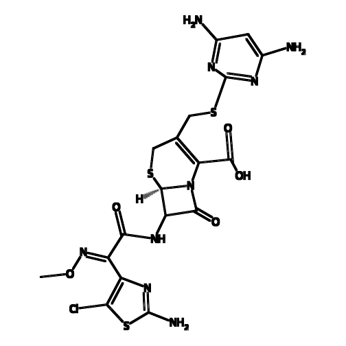 CO/N=C(/C(=O)NC1C(=O)N2C(C(=O)O)=C(CSc3nc(N)cc(N)n3)CS[C@H]12)c1nc(N)sc1Cl